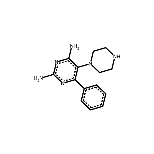 Nc1nc(N)c(N2CCNCC2)c(-c2ccccc2)n1